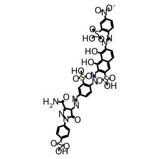 NC(=O)C1=NN(c2ccc(S(=O)(=O)O)cc2)C(=O)C1/N=N/c1ccc(/N=N/c2c(S(=O)(=O)O)cc3ccc(/N=N/c4ccc([N+](=O)[O-])cc4S(=O)(=O)O)c(O)c3c2O)c(S(=O)(=O)O)c1